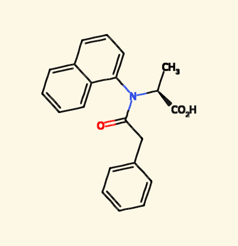 C[C@@H](C(=O)O)N(C(=O)Cc1ccccc1)c1cccc2ccccc12